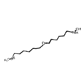 CNCCCCCCOCCCCCCNC